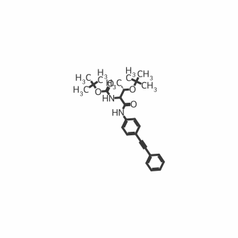 C[C@H](OC(C)(C)C)C(NC(=O)OC(C)(C)C)C(=O)Nc1ccc(C#Cc2ccccc2)cc1